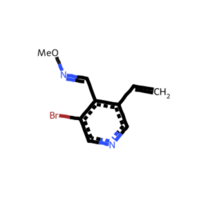 C=Cc1cncc(Br)c1/C=N/OC